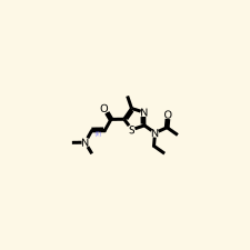 CCN(C(C)=O)c1nc(C)c(C(=O)/C=C/N(C)C)s1